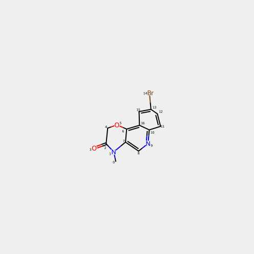 CN1C(=O)COc2c1cnc1ccc(Br)cc21